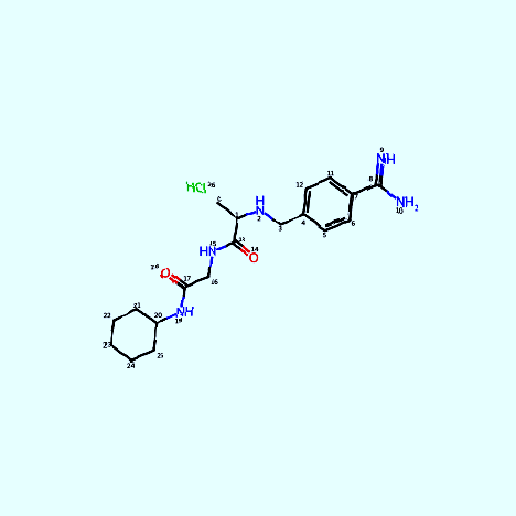 CC(NCc1ccc(C(=N)N)cc1)C(=O)NCC(=O)NC1CCCCC1.Cl